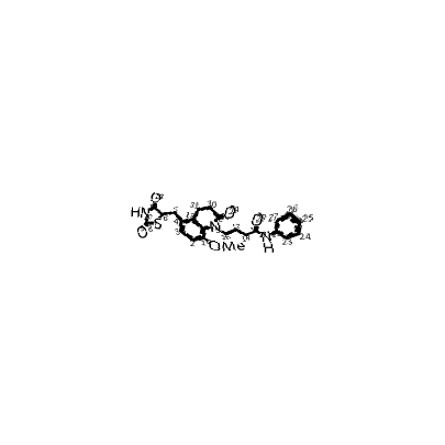 COc1ccc(CC2SC(=O)NC2=O)c2c1N(CCCC(=O)Nc1ccccc1)C(=O)CC2